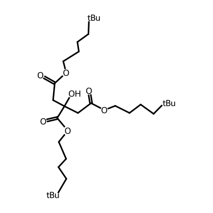 CC(C)(C)CCCCOC(=O)CC(O)(CC(=O)OCCCCC(C)(C)C)C(=O)OCCCCC(C)(C)C